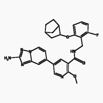 COc1ncc(-c2ccn3nc(N)nc3c2)cc1C(=O)NCc1c(F)cccc1OC1CC2CCC1C2